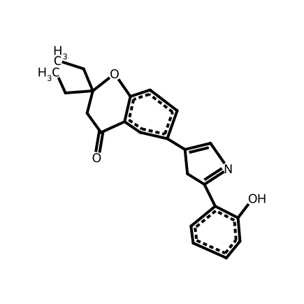 CCC1(CC)CC(=O)c2cc(C3=CN=C(c4ccccc4O)C3)ccc2O1